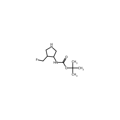 CC(C)(C)OC(=O)NC1CNCC1CF